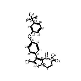 O=S1(=O)CCn2nc(Cl)c(-c3ccc(Oc4cccc(C(F)(F)F)c4)cc3)c2N1